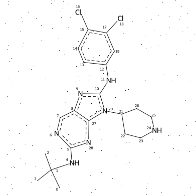 CC(C)(C)Nc1ncc2nc(Nc3ccc(Cl)c(Cl)c3)n(C3CCNCC3)c2n1